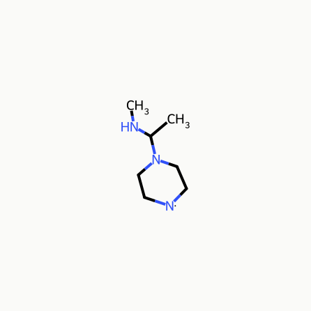 CNC(C)N1CC[N]CC1